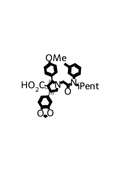 CCCC(C)N(C(=O)CN1C[C@H](c2ccc3c(c2)OCO3)[C@H](C(=O)O)[C@H]1c1ccc(OC)cc1)c1cccc(C)c1